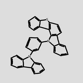 c1cc(-n2c3ccccc3c3ccccc32)cc(-n2c3ccccc3c3ccc4sc5ccccc5c4c32)c1